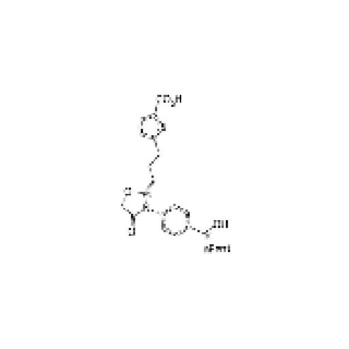 CCCCC[C@@H](O)c1ccc(N2C(=O)CO[C@H]2CCCc2ccc(C(=O)O)s2)cc1